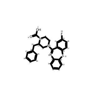 O=C(O)N1CCN(C2=Nc3ccccc3Sc3ccc(F)cc32)CC1Cc1ccccc1